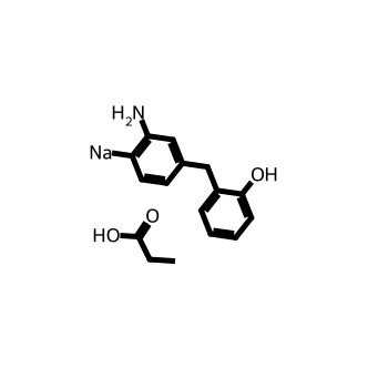 CCC(=O)O.Nc1cc(Cc2ccccc2O)cc[c]1[Na]